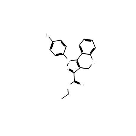 CCOC(=O)c1nn(-c2ccc(F)cc2)c2c1CSc1ccccc1-2